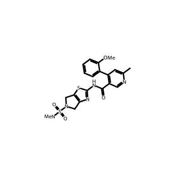 CNS(=O)(=O)N1Cc2nc(NC(=O)c3cnc(C)cc3-c3ccccc3OC)sc2C1